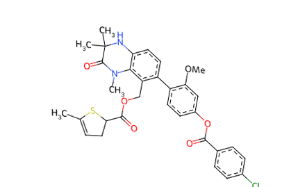 COc1cc(OC(=O)c2ccc(Cl)cc2)ccc1-c1ccc2c(c1COC(=O)C1CC=C(C)S1)N(C)C(=O)C(C)(C)N2